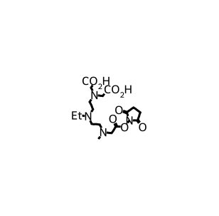 CCN(CCN(C)CC(=O)ON1C(=O)CCC1=O)CCN(CC(=O)O)CC(=O)O